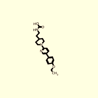 CCOc1ccc(-c2ccc(N3CCC(CCNC(=O)O)CC3)nc2)cc1